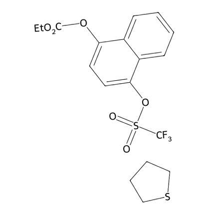 C1CCSC1.CCOC(=O)Oc1ccc(OS(=O)(=O)C(F)(F)F)c2ccccc12